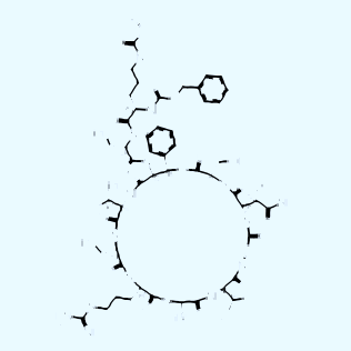 CC[C@H](C)C1NC(=O)[C@@H](CCCNC(=N)N)NC(=O)[C@H](CC(C)C)NC(=O)[C@H]([C@H](O)C(C)C)NC(=O)[C@@H](NC(=O)[C@H](CC(C)C)NC(=O)[C@@H](CCCNC(=O)OC(C)(C)C)NC(=O)OCc2ccccc2)[C@@H](c2ccccc2)OC(=O)[C@H](CO)NC(=O)[C@H]([C@H](O)C(N)=O)NC(=O)CNC(=O)C([C@H](C)O)NC1=O